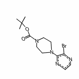 CC(C)(C)OC(=O)N1CCN(c2nccnc2Br)CC1